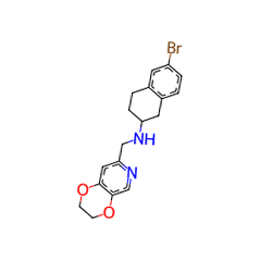 Brc1ccc2c(c1)CCC(NCc1cc3c(cn1)OCCO3)C2